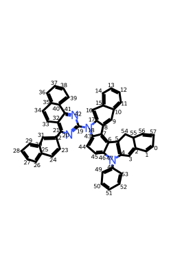 C1=CC2=Cc3c(c4c5c6cc7ccccc7cc6n(-c6nc(-c7ccc8ccccc8c7)c7ccc8ccccc8c7n6)c5ccc4n3-c3ccccc3)CC2C=C1